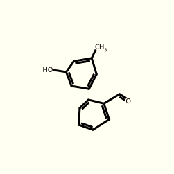 Cc1cccc(O)c1.O=Cc1ccccc1